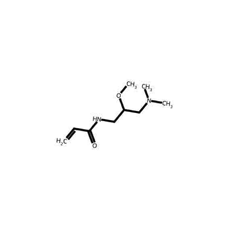 C=CC(=O)NCC(CN(C)C)OC